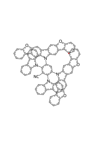 N#Cc1c(-n2c3ccccc3c3ccccc32)c(-n2c3cc4c(cc3c3cc5oc6ccccc6c5cc32)oc2ccccc24)cc(-n2c3cc4c(cc3c3cc5oc6ccccc6c5cc32)oc2ccccc24)c1-n1c2ccccc2c2ccccc21